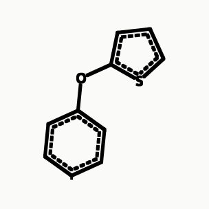 [c]1ccc(Oc2cccs2)cc1